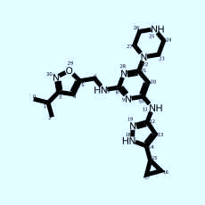 CC(C)c1cc(CNc2nc(Nc3cc(C4CC4)[nH]n3)cc(N3CCNCC3)n2)on1